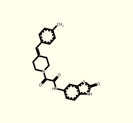 Cc1ccc(C=C2CCN(C(=O)C(=O)Nc3ccc4[nH]c(=O)sc4c3)CC2)cc1